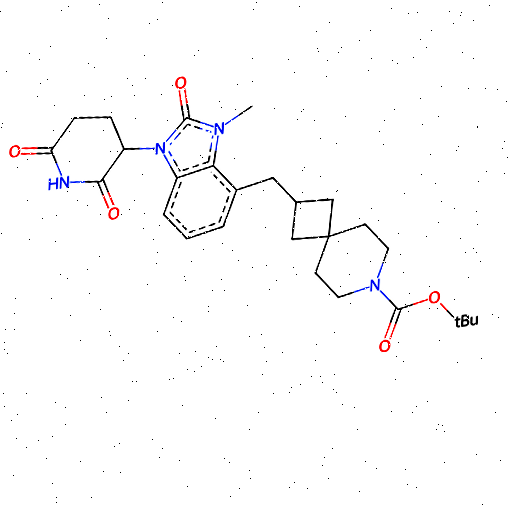 Cn1c(=O)n(C2CCC(=O)NC2=O)c2cccc(CC3CC4(CCN(C(=O)OC(C)(C)C)CC4)C3)c21